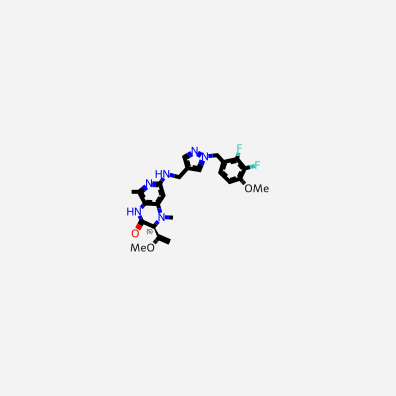 C=C(OC)[C@H]1C(=O)Nc2c(cc(NCc3cnn(Cc4ccc(OC)c(F)c4F)c3)nc2C)N1C